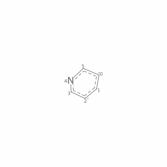 [c]1c[c]cnc1